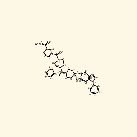 COC(=O)c1cccc(C(=O)N2CC[C@@H](C(=O)N3CCC(O)(Cn4cnc5c(ccn5-c5ccccc5)c4=O)CC3)[C@H](c3ccccc3)C2)c1